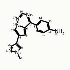 Cn1cc(-c2cc3c(-c4ccc(N)cc4)ncnn3c2)cn1